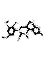 COc1cc(OC)c(F)c(N2Cc3cnc4[nH]c(C)cc4c3N(C)C2=O)c1